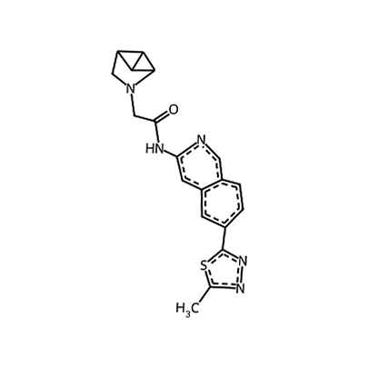 Cc1nnc(-c2ccc3cnc(NC(=O)CN4CC5C6C5C64)cc3c2)s1